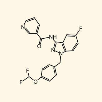 O=C(Nc1nn(Cc2ccc(OC(F)F)cc2)c2ccc(F)cc12)c1cccnc1